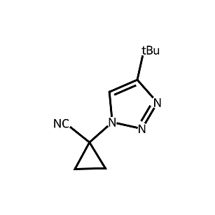 CC(C)(C)c1cn(C2(C#N)CC2)nn1